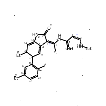 CCN/C=C\C(=N)N/C(C)=C1\C(=O)NC2=CC(CC)C(c3cc(CC)ccc3C)C=C21